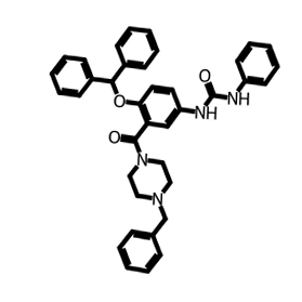 O=C(Nc1ccccc1)Nc1ccc(OC(c2ccccc2)c2ccccc2)c(C(=O)N2CCN(Cc3ccccc3)CC2)c1